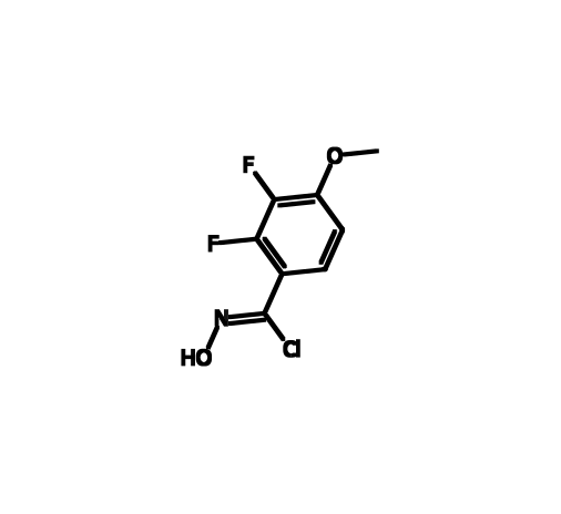 COc1ccc(C(Cl)=NO)c(F)c1F